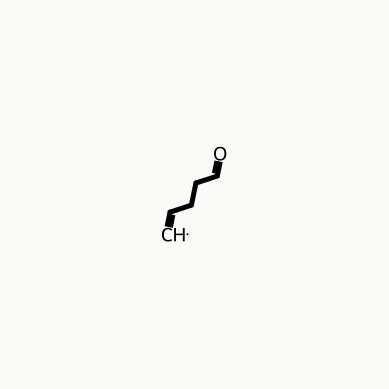 [CH]=CCCC=O